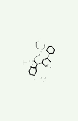 COc1ccc2[nH]c(CCN3CCOCC3)c(-c3cncc(-c4ccccc4)c3)c2c1